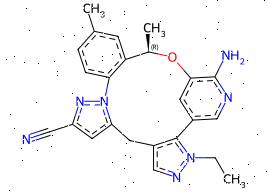 CCn1ncc2c1-c1cnc(N)c(c1)O[C@H](C)c1cc(C)ccc1-n1nc(C#N)cc1C2